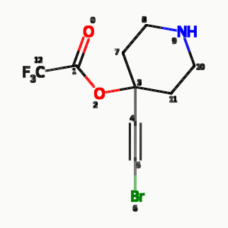 O=C(OC1(C#CBr)CCNCC1)C(F)(F)F